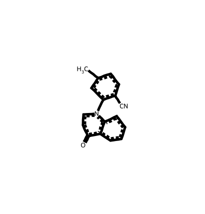 Cc1ccc(C#N)c(-n2ccc(=O)c3ccccc32)c1